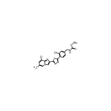 CC(C)(C)OC(=O)NCc1ccc(-c2nnc(-c3cn4cc(C(F)(F)F)cc(Cl)c4n3)s2)c(Cl)c1